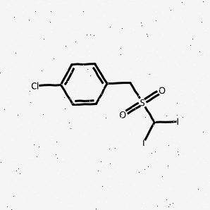 O=S(=O)(Cc1ccc(Cl)cc1)C(I)I